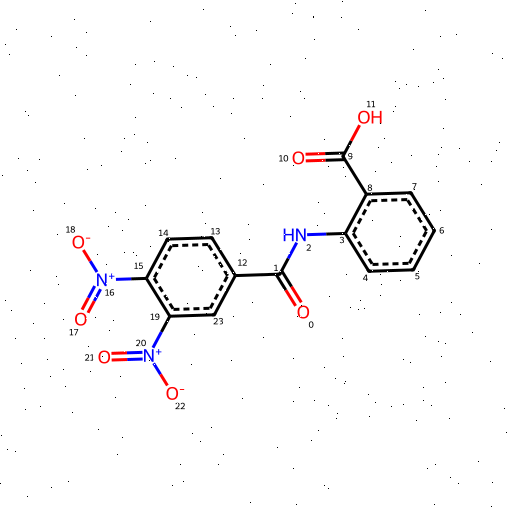 O=C(Nc1ccccc1C(=O)O)c1ccc([N+](=O)[O-])c([N+](=O)[O-])c1